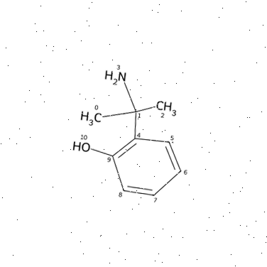 CC(C)(N)c1[c]cccc1O